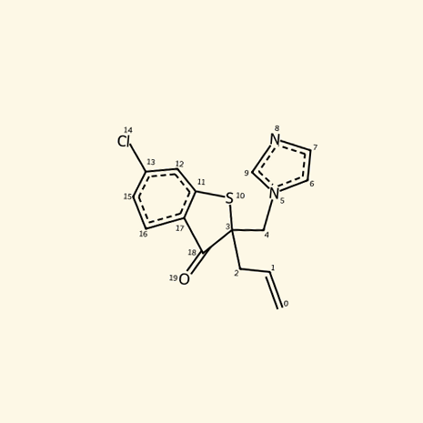 C=CCC1(Cn2ccnc2)Sc2cc(Cl)ccc2C1=O